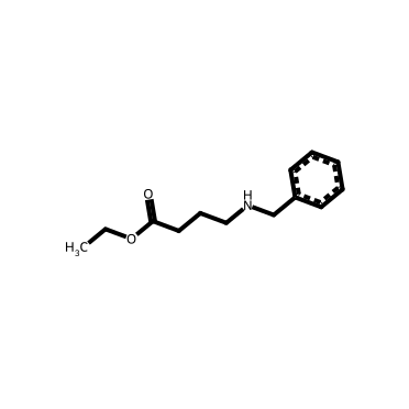 CCOC(=O)CCCNCc1ccccc1